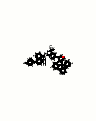 Cc1ccc(-c2ccc3c4c(cccc24)/C(=N/c2ncc(-c4cccc5c4-c4ccccc4C5(c4ccccc4)c4ccccc4)cc2C(F)(F)F)N3)cc1